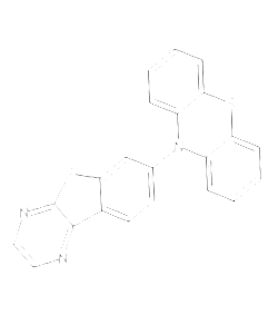 c1ccc2c(c1)Sc1ccccc1N2c1ccc2c(c1)sc1nccnc12